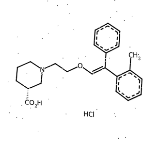 Cc1ccccc1/C(=C/OCCN1CCC[C@@H](C(=O)O)C1)c1ccccc1.Cl